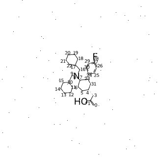 C=C(O)C[C@@H]1CC[C@@H](N(CC2CCCCC2)CC2CCCCC2)[C@H](c2ccc(F)cc2)C1